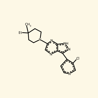 CCC1(C)CCN(c2cnc3c(-c4ccncc4Cl)n[nH]c3n2)CC1